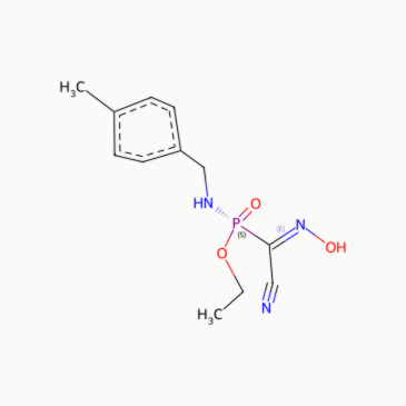 CCO[P@](=O)(NCc1ccc(C)cc1)/C(C#N)=N/O